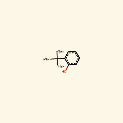 CCCCCCCCCC(CCCCCC)(CCCCCCCCC)c1ccccc1O